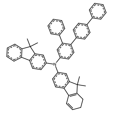 CC1(C)C2=C(C=CCC2)c2ccc(N(c3ccc(-c4ccc(-c5ccccc5)cc4)c(-c4ccccc4)c3)c3ccc4c(c3)C(C)(C)c3ccccc3-4)cc21